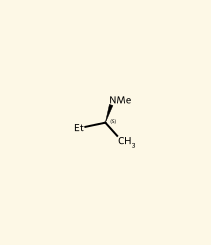 [CH2]N[C@@H](C)CC